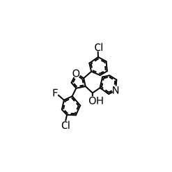 OC(c1cccnc1)c1c(-c2ccc(Cl)cc2F)coc1-c1cccc(Cl)c1